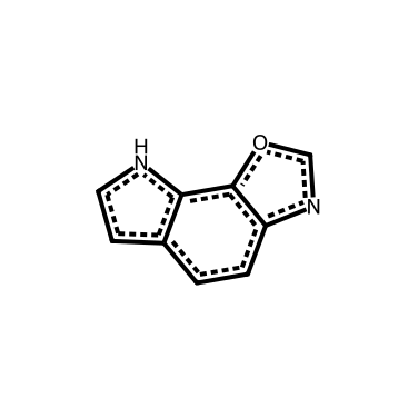 c1cc2ccc3ncoc3c2[nH]1